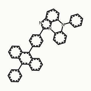 c1ccc(-c2c3ccccc3c(-c3ccc(-c4nc5cccc6c5n4-c4ccccc4N6c4ccccc4)cc3)c3ccccc23)cc1